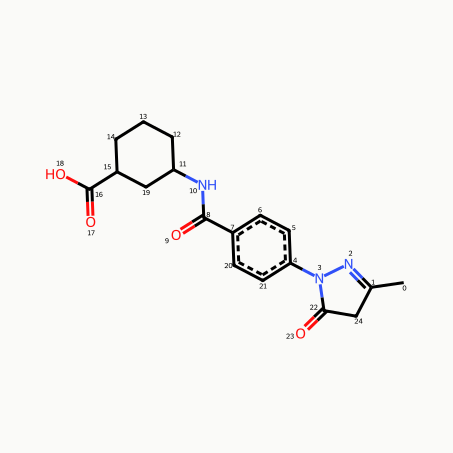 CC1=NN(c2ccc(C(=O)NC3CCCC(C(=O)O)C3)cc2)C(=O)C1